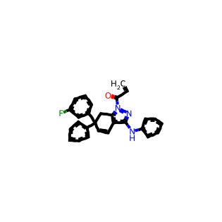 C=CC(=O)n1nc(Nc2ccccc2)c2c1CC(c1ccccc1)(c1cccc(F)c1)C=C2